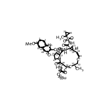 COc1ccc2nc(OC)c(O[C@@H]3C[C@H]4C(=O)N[C@]5(C(=O)NS(=O)(=O)C6(C)CC6)C[C@H]5/C=C\CC[C@@H](C)C[C@@H](C)[C@H](NC(=O)OC(C)(C)C)C(=O)N4C3)cc2c1